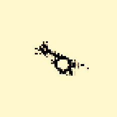 CC[C@@H]1OC(=O)C[C@@](O)(C/C=C/C=C(\C)C2OC(=O)CC/C=C(\C)C(C)[C@H](O)C(C)C(OC(N)=O)/C=C\C=C/[C@@H]2C)C1C